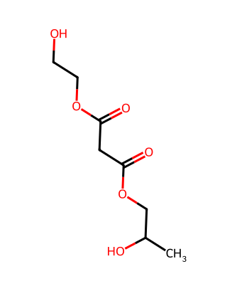 CC(O)COC(=O)CC(=O)OCCO